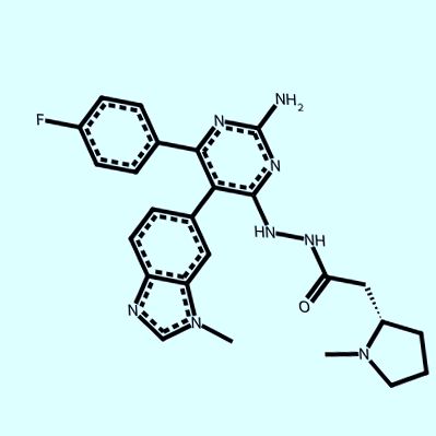 CN1CCC[C@H]1CC(=O)NNc1nc(N)nc(-c2ccc(F)cc2)c1-c1ccc2ncn(C)c2c1